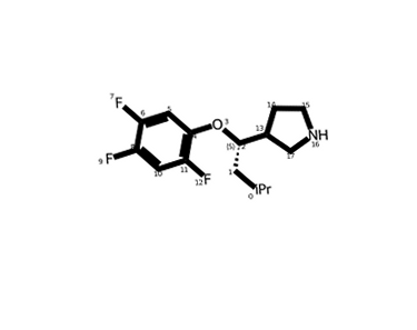 CC(C)C[C@H](Oc1cc(F)c(F)cc1F)C1CCNC1